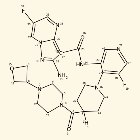 [2H]C1(C(=O)N2CCN(C3COC3)CC2)CCN(c2c(F)cncc2NC(=O)[13c]2c(N)nn3cc(F)cnc23)CC1